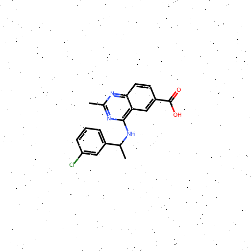 Cc1nc(NC(C)c2cccc(Cl)c2)c2cc(C(=O)O)ccc2n1